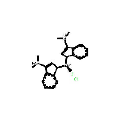 [CH2]=[Zr+2]([CH]1C=C([SiH](C)C)c2ccccc21)[CH]1C=C([SiH](C)C)c2ccccc21.[Cl-].[Cl-]